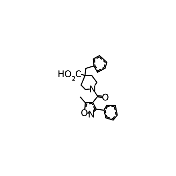 Cc1onc(-c2ccccc2)c1C(=O)N1CCC(Cc2ccccc2)(C(=O)O)CC1